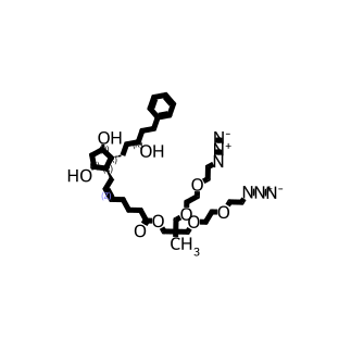 CC(COCCOCCN=[N+]=[N-])(COCCOCCN=[N+]=[N-])COC(=O)CCC/C=C\C[C@@H]1[C@@H](CC[C@@H](O)CCc2ccccc2)[C@H](O)C[C@@H]1O